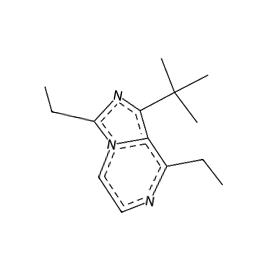 CCc1nccn2c(CC)nc(C(C)(C)C)c12